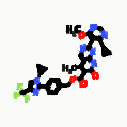 COc1ncnc(C2CC2)c1-c1ncc2c(n1)=NC(=O)C(C(=O)OCc1ccc(-c3nc(C(F)(F)F)cn3C3CC3)cc1)C=2C